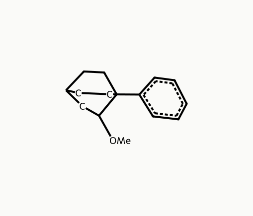 COC1CC2CCC1(c1ccccc1)CC2